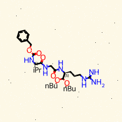 CCCCOC(OCCCC)[C@H](CCCNC(=N)N)NC(=O)CNC(=O)[C@@H](NC(=O)OCc1ccccc1)C(C)C